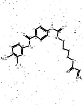 C=CC(=O)OCCCCOC(=O)Oc1ccc(C(=O)Oc2ccc(OC(C)=O)c(C)c2)cc1